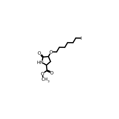 COC(=O)C1CC(OCCCCCCI)C(=O)N1